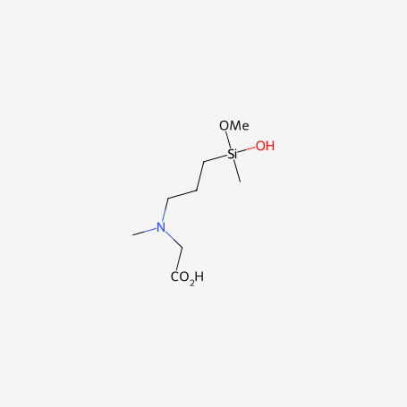 CO[Si](C)(O)CCCN(C)CC(=O)O